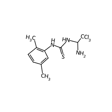 Cc1ccc(C)c(NC(=S)NC(N)C(Cl)(Cl)Cl)c1